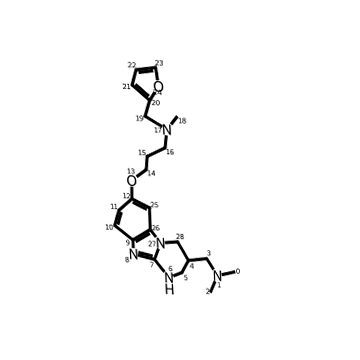 CN(C)CC1CNc2nc3ccc(OCCCN(C)Cc4ccco4)cc3n2C1